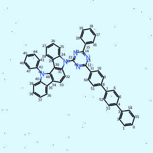 c1ccc(-c2ccc(-c3ccc(-c4nc(-c5ccccc5)nc(-n5c6ccccc6c6c5ccc5c7ccccc7n(-c7ccccc7)c56)n4)cc3)cc2)cc1